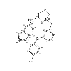 Clc1ccc(Oc2cccc(CN3CCCC(Nc4ccc5[nH]ncc5c4)C3)c2)cc1